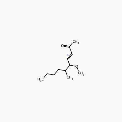 CCCCC(C)C(/C=C/C(C)=O)OC